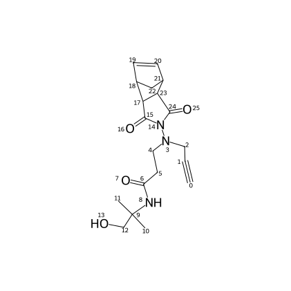 C#CCN(CCC(=O)NC(C)(C)CO)N1C(=O)C2C3C=CC(C3)C2C1=O